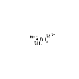 [BH4-].[BH4-].[BH4-].[Rh+3]